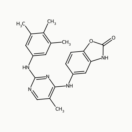 Cc1cnc(Nc2cc(C)c(C)c(C)c2)nc1Nc1ccc2oc(=O)[nH]c2c1